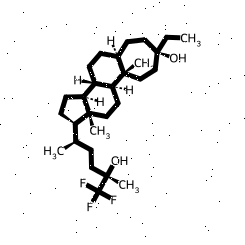 CC[C@@]1(O)CC[C@@H]2CC[C@@H]3[C@H](CC[C@]4(C)[C@@H]([C@H](C)CC[C@](C)(O)C(F)(F)F)CC[C@@H]34)[C@@]2(C)CC1